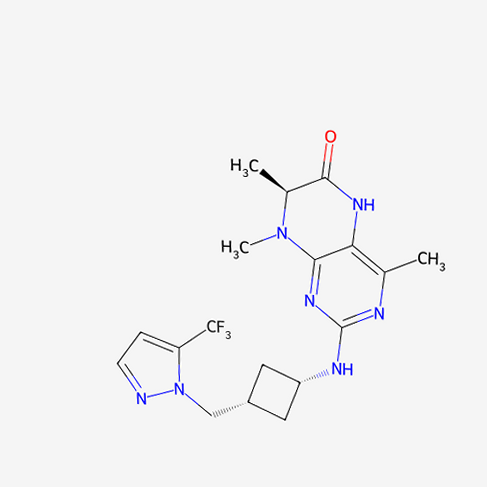 Cc1nc(N[C@H]2C[C@@H](Cn3nccc3C(F)(F)F)C2)nc2c1NC(=O)[C@H](C)N2C